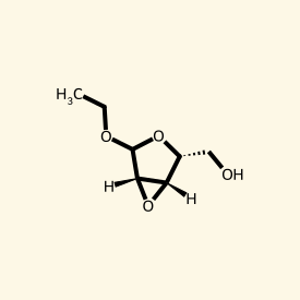 CCOC1O[C@H](CO)[C@@H]2O[C@H]12